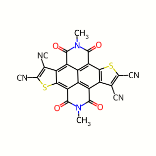 [C-]#[N+]c1sc2c3c4c(c5c(C#N)c(C#N)sc5c5c4c(c2c1[N+]#[C-])C(=O)N(C)C5=O)C(=O)N(C)C3=O